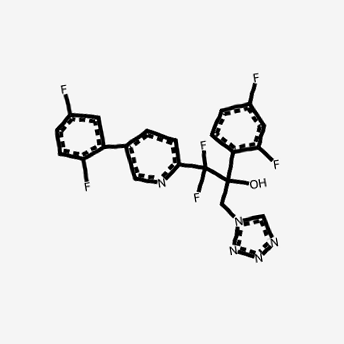 OC(Cn1cnnn1)(c1ccc(F)cc1F)C(F)(F)c1ccc(-c2cc(F)ccc2F)cn1